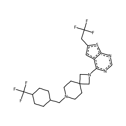 FC(F)(F)Cc1cc2c(N3CC4(CCN(CC5CCC(C(F)(F)F)CC5)CC4)C3)ncnc2s1